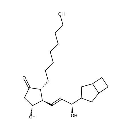 O=C1C[C@@H](O)[C@H](/C=C/[C@H](O)C2CC3CCC3C2)[C@H]1CCCCCCCO